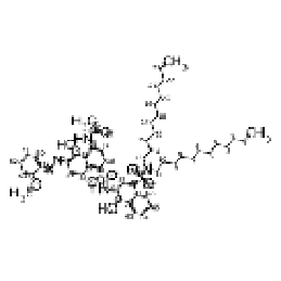 CCCCCCCCCCCCN(CCCCCCCCCCCC)S(=O)(=O)c1cc(NS(=O)(=O)c2ccc(NC(C)=O)c3c(O)c(N=Nc4ccccc4OC)ccc23)c(O)c2ccccc12